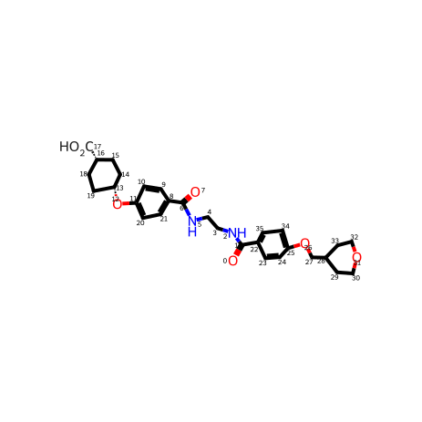 O=C(NCCNC(=O)c1ccc(O[C@H]2CC[C@@H](C(=O)O)CC2)cc1)c1ccc(OCC2CCOCC2)cc1